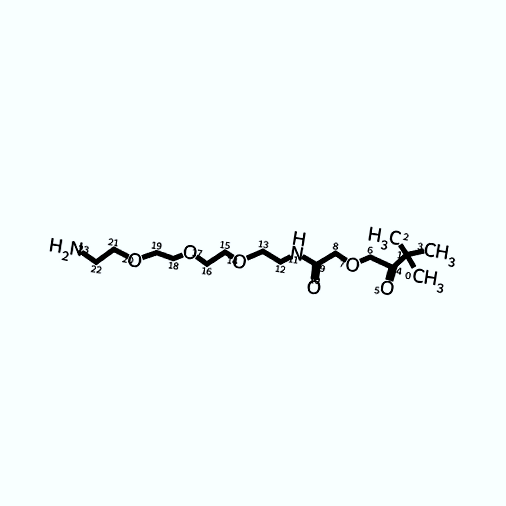 CC(C)(C)C(=O)COCC(=O)NCCOCCOCCOCCN